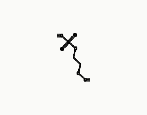 O=S(=O)(O)OCCOO